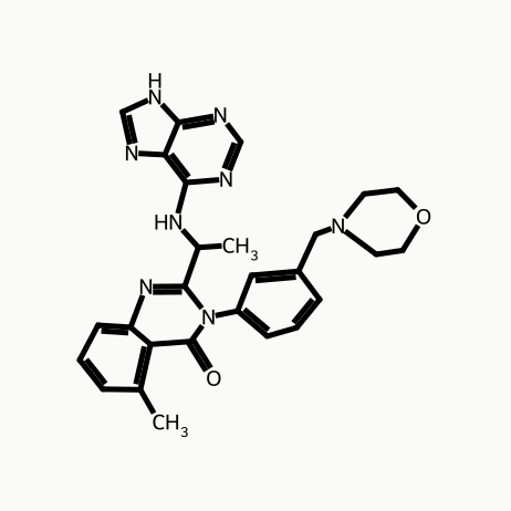 Cc1cccc2nc(C(C)Nc3ncnc4[nH]cnc34)n(-c3cccc(CN4CCOCC4)c3)c(=O)c12